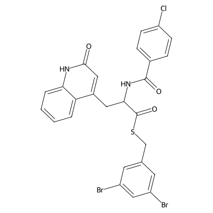 O=C(NC(Cc1cc(=O)[nH]c2ccccc12)C(=O)SCc1cc(Br)cc(Br)c1)c1ccc(Cl)cc1